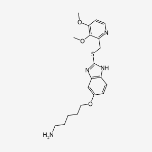 COc1ccnc(CSc2nc3cc(OCCCCCN)ccc3[nH]2)c1OC